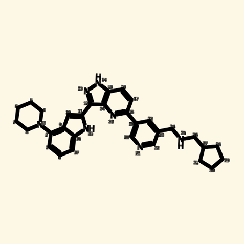 c1cc(N2CCCCC2)c2cc(-c3n[nH]c4ccc(-c5cncc(CNCC6CCCC6)c5)nc34)[nH]c2c1